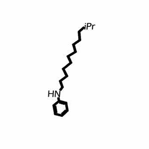 CC(C)CCCCCCCCCCNc1ccccc1